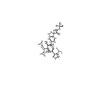 CC(C)n1nccc1C(=O)N[C@H](C(=O)Nc1ccc2c(c1)CC[C@H]2C(=O)NCC(F)(F)F)C(C1CC1)C1CC1